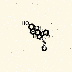 C[C@]12CCC(O)CC1CC[C@@H]1[C@H]2CC[C@]2(C)C(OCCN3CCCC3)(c3ccccc3)CC[C@@]12O